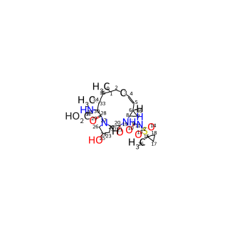 CC1CC/C=C\[C@@H]2C[C@@]2(C(=O)NS(=O)(=O)C2(C)CC2)NC(=O)[C@@H]2C[C@@H](O)CN2C(=O)[C@@H](NC(=O)O)[C@H](C)C1